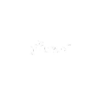 C=CC(=O)N[C@@H](C)COc1cccc(Nc2cc(-c3ccnc(N4CCN5CCC(C)(C)CC(=C)/C=C\5C4=O)c3CO)cn(C)c2=O)n1